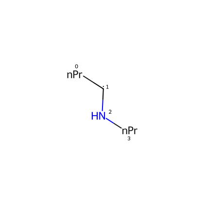 CCC[CH]NCCC